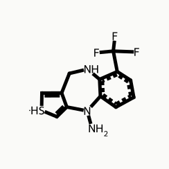 NN1C2=C[SH]C=C2CNc2c1cccc2C(F)(F)F